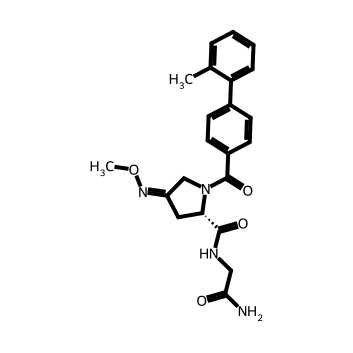 CON=C1C[C@@H](C(=O)NCC(N)=O)N(C(=O)c2ccc(-c3ccccc3C)cc2)C1